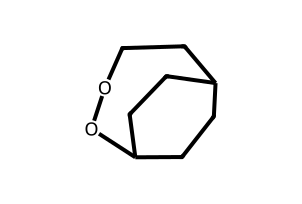 C1CC2CCC(CC2)OO1